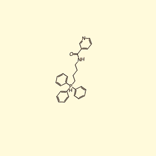 O=C(NCCCC[PH](c1ccccc1)(c1ccccc1)c1ccccc1)c1cccnc1